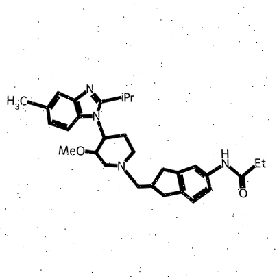 CCC(=O)Nc1ccc2c(c1)CC(CN1CCC(n3c(C(C)C)nc4cc(C)ccc43)C(OC)C1)C2